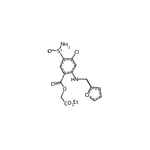 CCOC(=O)COC(=O)c1cc([S+](N)[O-])c(Cl)cc1NCc1ccco1